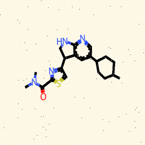 CC1CCC(c2cnc3c(c2)C(c2csc(C(=O)N(C)C)n2)CN3)CC1